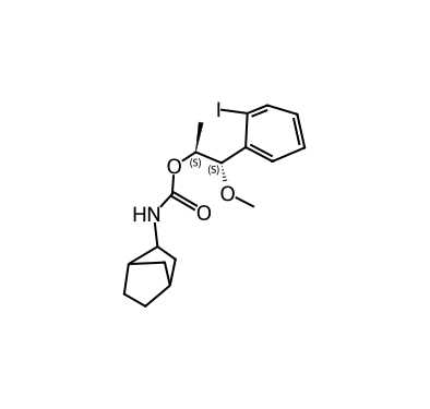 CO[C@@H](c1ccccc1I)[C@H](C)OC(=O)NC1CC2CCC1C2